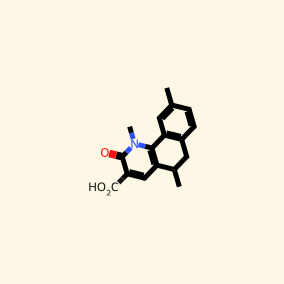 Cc1ccc2c(c1)-c1c(cc(C(=O)O)c(=O)n1C)C(C)C2